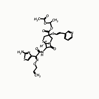 C=CCON=C(C(=O)NC1C(=O)N2CC(SC=Cc3cccnc3)(C(=O)OC(C)OC(C)=O)CS[C@H]12)c1csc(N)n1